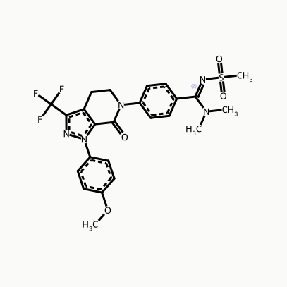 COc1ccc(-n2nc(C(F)(F)F)c3c2C(=O)N(c2ccc(/C(=N/S(C)(=O)=O)N(C)C)cc2)CC3)cc1